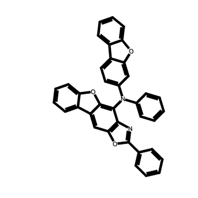 c1ccc(-c2nc3c(N(c4ccccc4)c4ccc5c(c4)oc4ccccc45)c4oc5ccccc5c4cc3o2)cc1